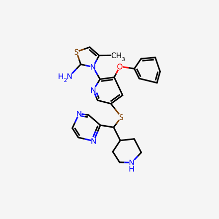 CC1=CSC(N)N1c1ncc(SC(c2cnccn2)C2CCNCC2)cc1Oc1ccccc1